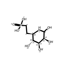 O=P(O)(O)CC[C@H]1NC(O)[C@@H](O)[C@@H](O)[C@@H]1O